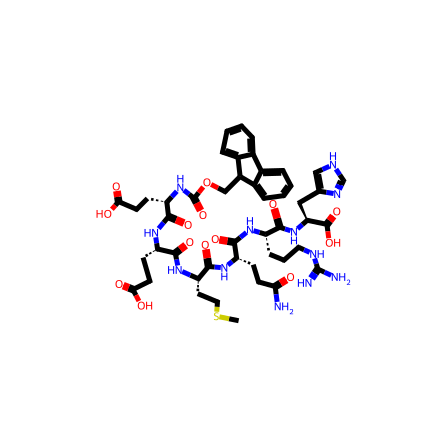 CSCC[C@H](NC(=O)[C@H](CCC(=O)O)NC(=O)[C@H](CCC(=O)O)NC(=O)OCC1c2ccccc2-c2ccccc21)C(=O)N[C@@H](CCC(N)=O)C(=O)N[C@@H](CCCNC(=N)N)C(=O)N[C@@H](Cc1c[nH]cn1)C(=O)O